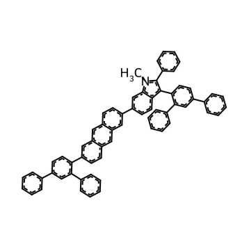 Cn1c(-c2ccccc2)c(-c2ccc(-c3ccccc3)cc2-c2ccccc2)c2ccc(-c3ccc4cc5cc(-c6ccc(-c7ccccc7)cc6-c6ccccc6)ccc5cc4c3)cc21